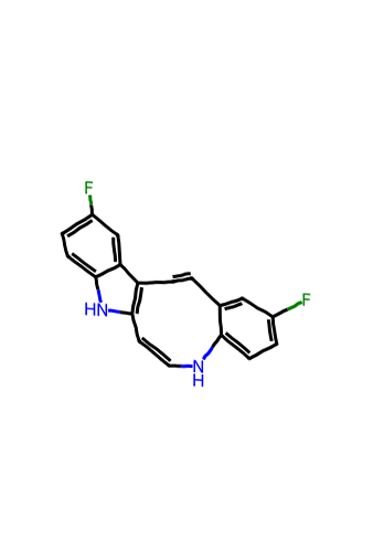 Fc1ccc2[nH]ccc3[nH]c4ccc(F)cc4c3ccc2c1